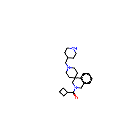 O=C(C1CCC1)N1Cc2ccccc2C2(CCN(CC3CCNCC3)CC2)C1